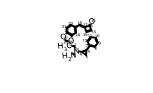 CCN(N)C1CC1c1ccccc1.O=C1C=CC1=Cc1ccc2c(c1)OCO2